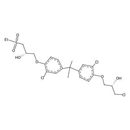 CCS(=O)(=O)C[C@@H](O)COc1ccc(C(C)(C)c2ccc(OC[C@H](O)CCl)c(Cl)c2)cc1Cl